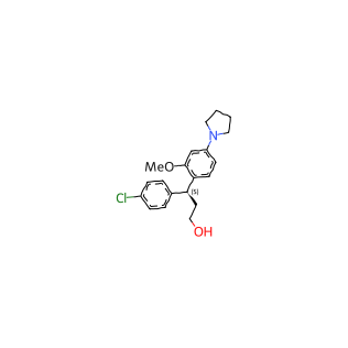 COc1cc(N2CCCC2)ccc1[C@@H](CCO)c1ccc(Cl)cc1